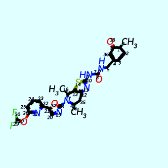 CC1C=CC(CNC(=O)Nc2nc3c(s2)[C@H](C)N(c2ncc(-c4cccc(OC(F)F)n4)o2)[C@H](C)C3)=CC1=O